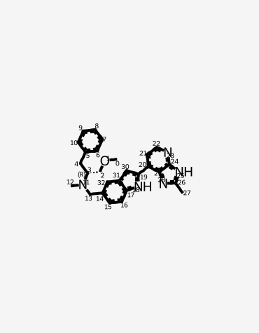 COC[C@@H](Cc1ccccc1)N(C)Cc1ccc2[nH]c(-c3ccnc4[nH]c(C)nc34)cc2c1